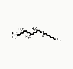 CCCCCCCC(=O)OCC=C(C)CCC=C(C)CCC=C(C)CCC=C(C)C